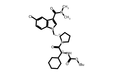 CN(C)C(=O)c1cn(C[C@@H]2CCCN2C(=O)[C@@H](NC(=O)OC(C)(C)C)C2CCCCC2)c2ccc(Cl)cc12